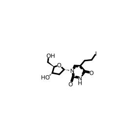 O=c1[nH]c(=O)n([C@@H]2C[C@H](O)[C@@H](CO)O2)cc1CCI